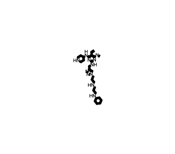 C=Cc1c(N=C)nc(NCc2cn(CCCNCCCNC3CCCCC3)nn2)nc1NC1CCNCC1